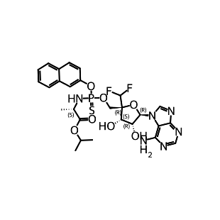 CC(C)OC(=O)[C@H](C)NP(=S)(OC[C@@]1(C(F)F)O[C@@H](n2cnc3ncnc(N)c32)[C@H](O)[C@@H]1O)Oc1ccc2ccccc2c1